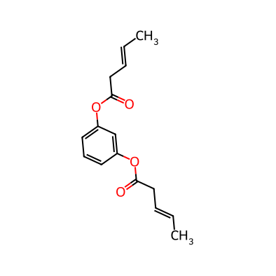 CC=CCC(=O)Oc1cccc(OC(=O)CC=CC)c1